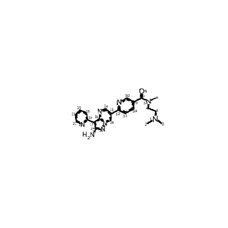 CN(C)CCN(C)C(=O)c1ccc(-c2cnc3c(-c4ccccn4)c(N)nn3c2)nc1